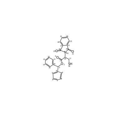 O=C(OC(c1ccccc1)c1ccccc1)C(CS)N1C(=O)c2ccccc2C1=O